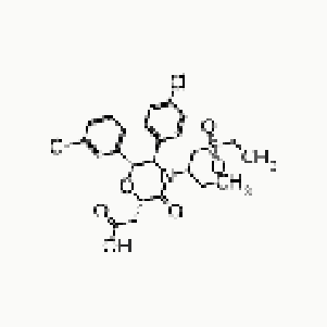 CCC(CS(=O)(=O)CC)N1C(=O)[C@H](CC(=O)O)O[C@H](c2cccc(Cl)c2)[C@H]1c1ccc(Cl)cc1